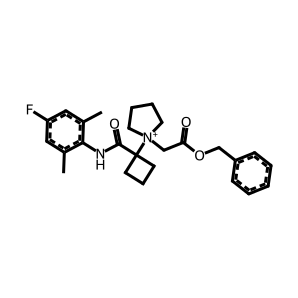 Cc1cc(F)cc(C)c1NC(=O)C1([N+]2(CC(=O)OCc3ccccc3)CCCC2)CCC1